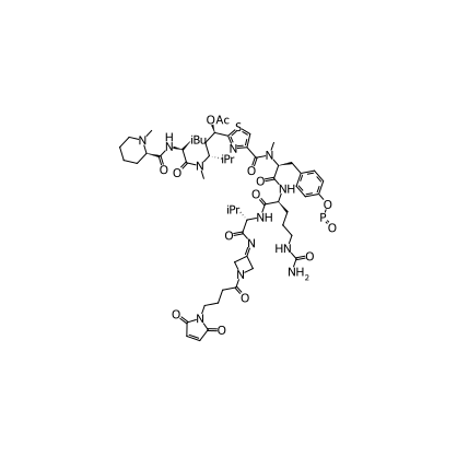 CC[C@H](C)[C@H](NC(=O)[C@H]1CCCCN1C)C(=O)N(C)[C@H](C[C@@H](OC(C)=O)c1nc(C(=O)N(C)[C@@H](Cc2ccc(OP=O)cc2)C(=O)N[C@@H](CCCNC(N)=O)C(=O)N[C@H](C(=O)N=C2CN(C(=O)CCCN3C(=O)C=CC3=O)C2)C(C)C)cs1)C(C)C